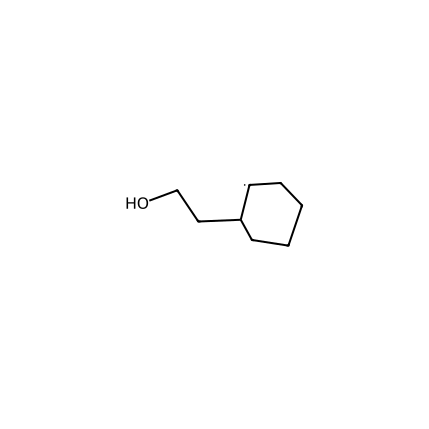 OCCC1[CH]CCCC1